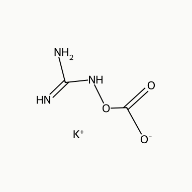 N=C(N)NOC(=O)[O-].[K+]